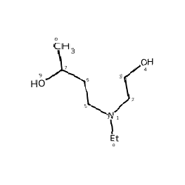 CCN(CCO)CCC(C)O